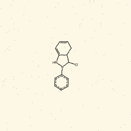 ClC1C2CC=CC=C2NN1c1ccccc1